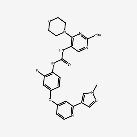 Cn1cc(-c2cc(Oc3ccc(NC(=O)Nc4cnc(C(C)(C)C)nc4N4CCOCC4)c(F)c3)ccn2)cn1